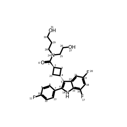 O=C([C@H]1C[C@H](c2c(-c3ccc(F)cc3)[nH]c3c(F)cc(F)cc32)C1)N(CCO)CCCO